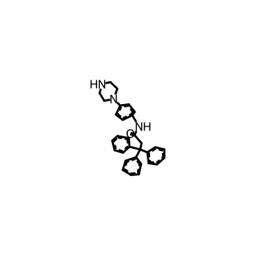 O=C(CC(c1ccccc1)(c1ccccc1)c1ccccc1)Nc1ccc(N2CCNCC2)cc1